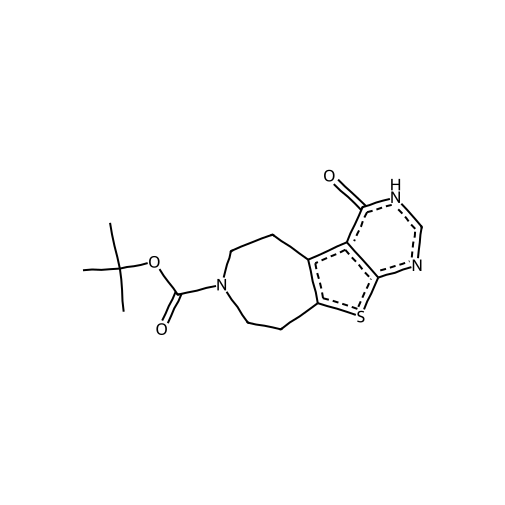 CC(C)(C)OC(=O)N1CCc2sc3nc[nH]c(=O)c3c2CC1